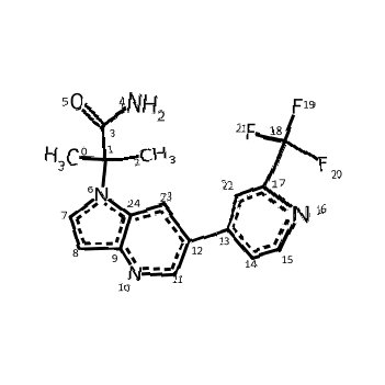 CC(C)(C(N)=O)n1ccc2ncc(-c3ccnc(C(F)(F)F)c3)cc21